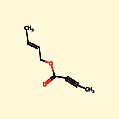 CC#CC(=O)OCC=CC